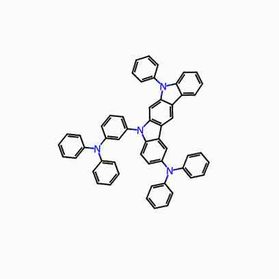 c1ccc(N(c2ccccc2)c2cccc(-n3c4ccc(N(c5ccccc5)c5ccccc5)cc4c4cc5c6ccccc6n(-c6ccccc6)c5cc43)c2)cc1